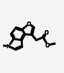 COC(=O)Cc1coc2ccc3c(ccn3C)c12